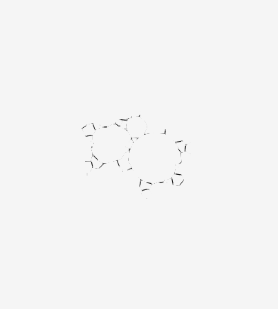 CC(C)(C)c1cc2cc(c1O)/C=N/c1ccccc1/N=C/c1cc(cc(C(C)(C)C)c1O)OC(=O)CCC1(C)CCC(=O)Oc3cc4c(O)c(c3)C3(C)C(C13)C(C)(CCC(=O)O2)CCC(=O)Oc1cc(c(O)c(C(C)(C)C)c1)/C=N/c1ccccc1/N=C/4